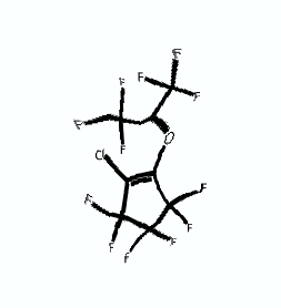 FC(F)(F)C(OC1=C(Cl)C(F)(F)C(F)(F)C1(F)F)C(F)(F)F